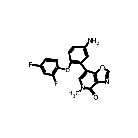 Cn1cc(-c2cc(N)ccc2Oc2ccc(F)cc2F)c2ocnc2c1=O